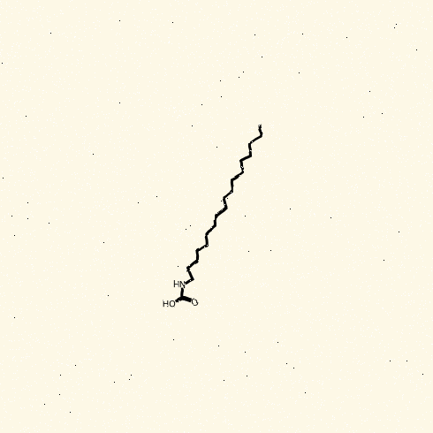 CCCCCCCCCCCCCCCCCCNC(=O)O